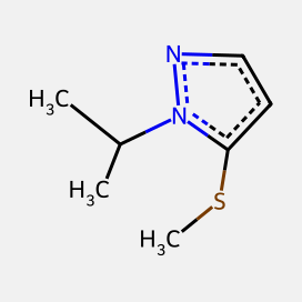 CSc1ccnn1C(C)C